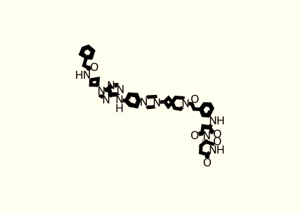 O=C1CC[C@H](N2C(=O)C=C(Nc3cccc(CC(=O)N4CCC5(CC4)CC(N4CCN(c6ccc(Nc7ncnc8c7ncn8C7CC(NC(=O)Cc8ccccc8)C7)cc6)CC4)C5)c3)C2=O)C(=O)N1